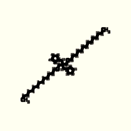 CCCCCCCCCCCCCCOCC(COCCCCCCCCCCCCCC)(CN1CCCC1)CN1CCCC1